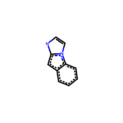 C1=Cn2c(cc3ccccc32)[N]1